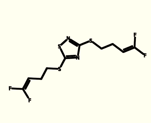 FC(F)=CCCSc1nsc(SCCC=C(F)F)n1